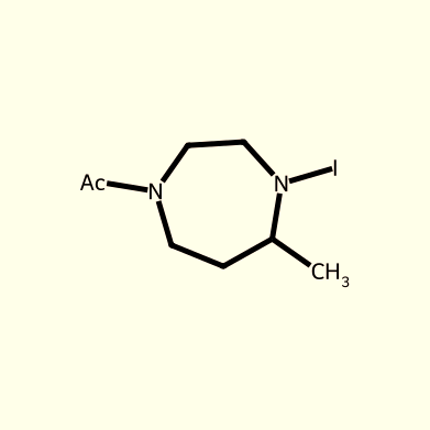 CC(=O)N1CCC(C)N(I)CC1